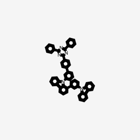 c1ccc(-c2nc(-c3ccccc3)nc(-c3ccc(-c4cccc(-n5c6ccccc6c6cccc(-c7cccc(-n8c9ccccc9c9ccccc98)c7)c65)c4)cc3)n2)cc1